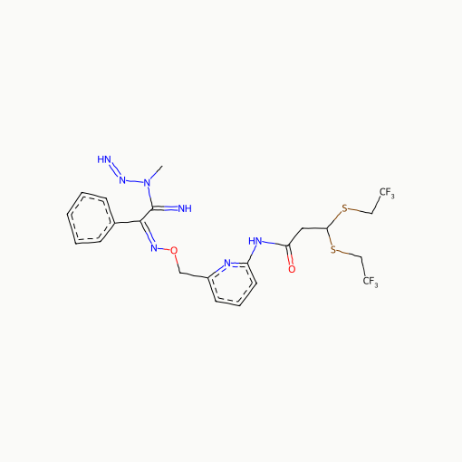 CN(N=N)C(=N)/C(=N\OCc1cccc(NC(=O)CC(SCC(F)(F)F)SCC(F)(F)F)n1)c1ccccc1